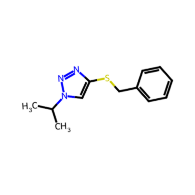 CC(C)n1cc(SCc2ccccc2)nn1